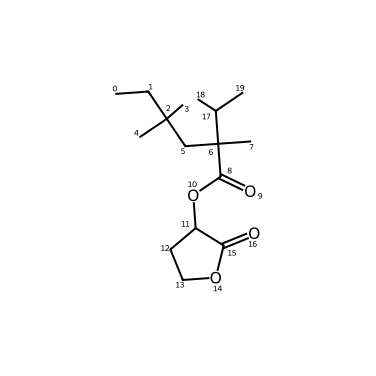 CCC(C)(C)CC(C)(C(=O)OC1CCOC1=O)C(C)C